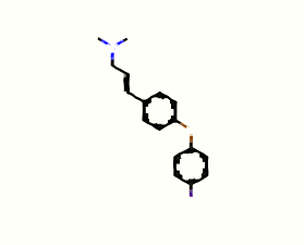 CN(C)CC=Cc1ccc(Sc2ccc(I)cc2)cc1